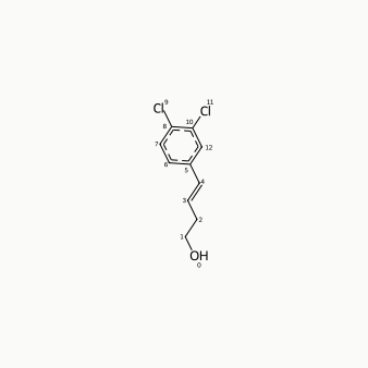 OCCC=Cc1ccc(Cl)c(Cl)c1